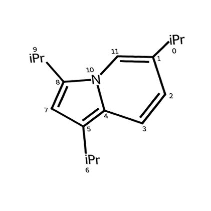 CC(C)c1ccc2c(C(C)C)cc(C(C)C)n2c1